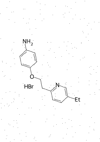 Br.CCc1ccc(CCOc2ccc(N)cc2)nc1